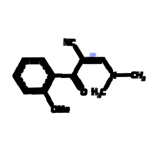 COc1ccccc1C(=O)/C(C#N)=C\N(C)C